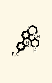 FC(F)(F)c1ccc(-c2ccc3c4c2[C@@H]2CNCC[C@@H]2N4CCCS3)c(Cl)c1